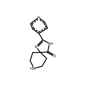 O=C1NC(c2ccncc2)=NC12CCNCC2